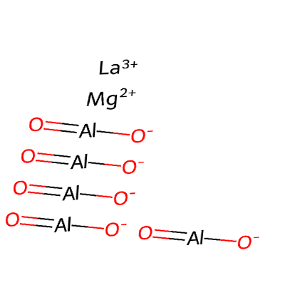 [La+3].[Mg+2].[O]=[Al][O-].[O]=[Al][O-].[O]=[Al][O-].[O]=[Al][O-].[O]=[Al][O-]